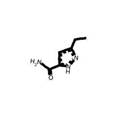 CCc1cc(C(N)=O)[nH]n1